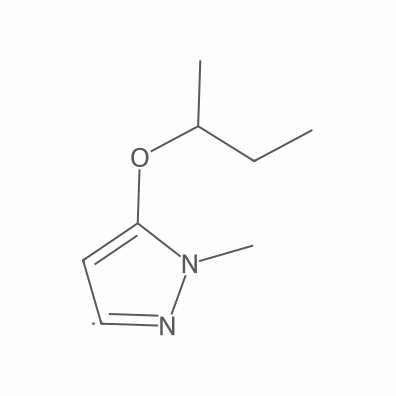 CCC(C)Oc1c[c]nn1C